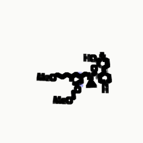 C=C(/C=C(\C=C(/C)OCCOC)CN(C(=O)[C@H]1CNCC[C@@H]1[C@H]1C=CN(C)[C@@H](O)C1)C1CC1)CCCOC